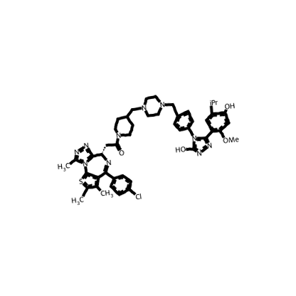 COc1cc(O)c(C(C)C)cc1-c1nnc(O)n1-c1ccc(CN2CCN(CC3CCN(C(=O)C[C@@H]4N=C(c5ccc(Cl)cc5)c5c(sc(C)c5C)-n5c(C)nnc54)CC3)CC2)cc1